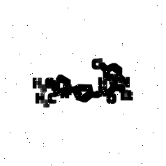 CCc1nc2ccc(Cl)cn2c1C(=O)NCc1ccc(N2CCN(C)C(C)=N2)cc1